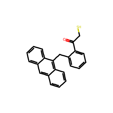 O=C(CS)c1ccccc1Cc1c2ccccc2cc2ccccc12